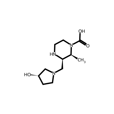 C[C@H]1[C@@H](CN2CC[C@H](O)C2)NCCN1C(=O)O